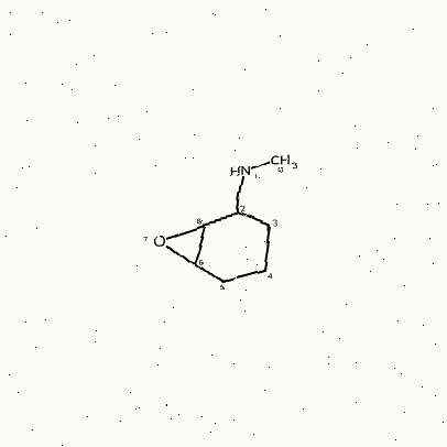 CNC1CCCC2OC12